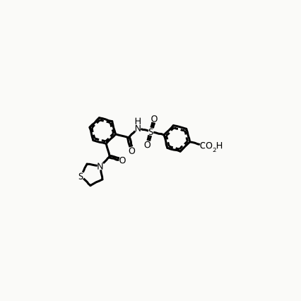 O=C(O)c1ccc(S(=O)(=O)NC(=O)c2ccccc2C(=O)N2CCSC2)cc1